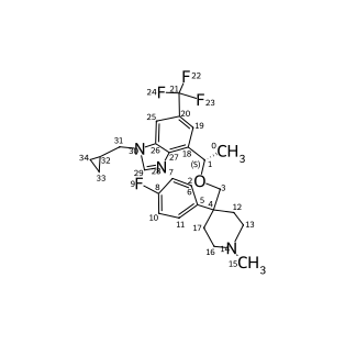 C[C@H](OCC1(c2ccc(F)cc2)CCN(C)CC1)c1cc(C(F)(F)F)cc2c1ncn2CC1CC1